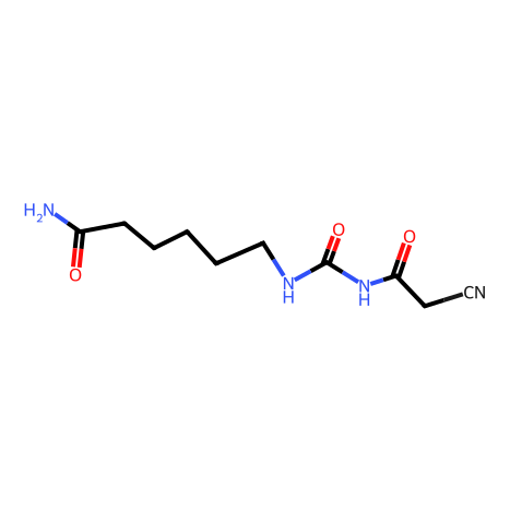 N#CCC(=O)NC(=O)NCCCCCC(N)=O